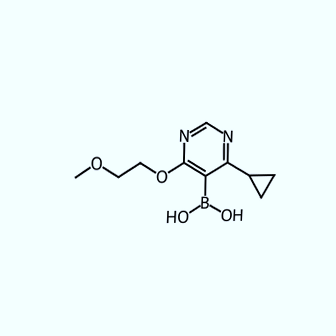 COCCOc1ncnc(C2CC2)c1B(O)O